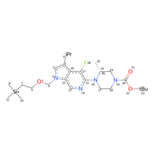 CC(C)c1cn(COCC[Si](C)(C)C)c2cnc(N3CCN(C(=O)OC(C)(C)C)C[C@H]3C)c(F)c12